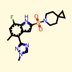 Cc1cc(F)c2[nH]c(S(=O)(=O)N3CCC4(CC3)CC4)cc2c1-c1ncn(C)n1